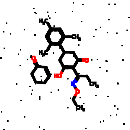 CCO/N=C(\CC)C1=C(O)CC(c2c(C)cc(C)cc2C)CC1=O.O=C1C=CCCC1